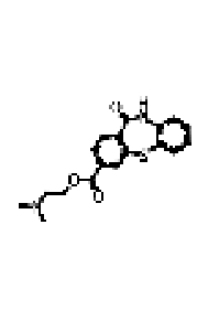 CN(C)CCOC(=O)c1ccc2c(c1)Sc1ccccc1NC2=O